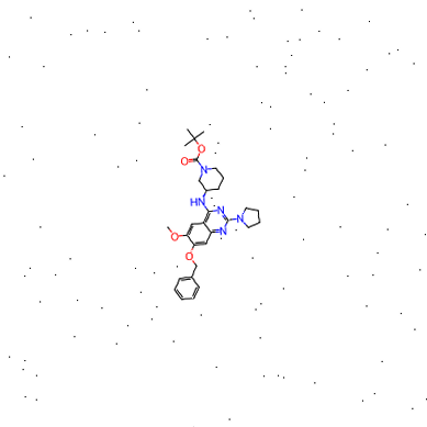 COc1cc2c(N[C@@H]3CCCN(C(=O)OC(C)(C)C)C3)nc(N3CCCC3)nc2cc1OCc1ccccc1